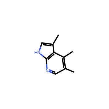 Cc1cnc2[nH]cc(C)c2c1C